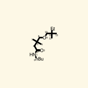 CCCCNC(=O)CC(C)(C)COCC(C)(C)CC